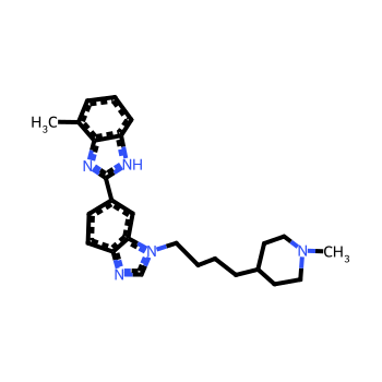 Cc1cccc2[nH]c(-c3ccc4ncn(CCCCC5CCN(C)CC5)c4c3)nc12